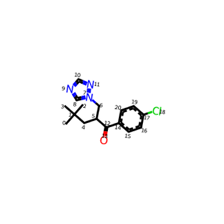 CC(C)(C)CC(Cn1cncn1)C(=O)c1ccc(Cl)cc1